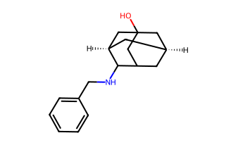 OC12CC3C[C@@H](C[C@H](C1)C3NCc1ccccc1)C2